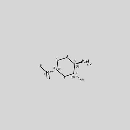 CN[C@@H]1CC[C@@H](N)[C@H](C)C1